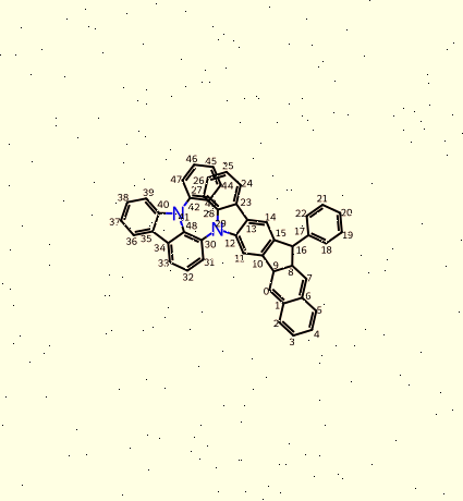 C1=c2ccccc2=CC2C1c1cc3c(cc1C2c1ccccc1)c1ccccc1n3-c1cccc2c3ccccc3n(-c3ccccc3)c12